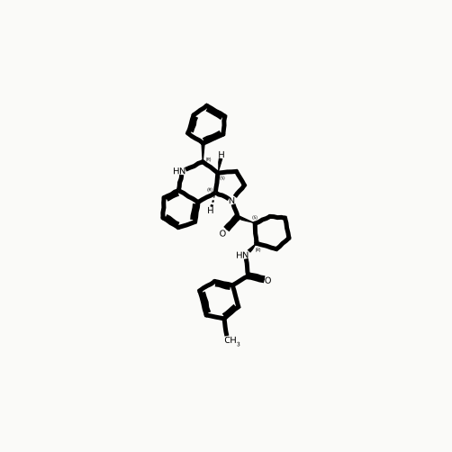 Cc1cccc(C(=O)N[C@@H]2CCCC[C@@H]2C(=O)N2CC[C@H]3[C@H](c4ccccc4)Nc4ccccc4[C@@H]32)c1